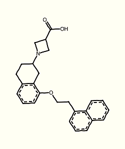 O=C(O)C1CN(C2CCc3cccc(OCCc4cccc5ccccc45)c3C2)C1